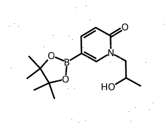 CC(O)Cn1cc(B2OC(C)(C)C(C)(C)O2)ccc1=O